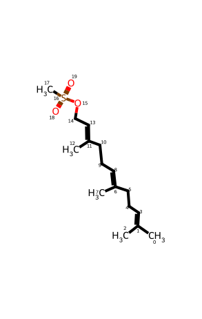 CC(C)=CCC/C(C)=C/CC/C(C)=C/COS(C)(=O)=O